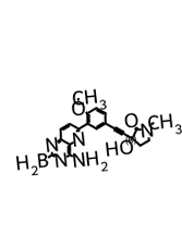 Bc1nc(N)c2nc(-c3cc(C#C[C@]4(O)CCN(C)C4=O)ccc3OC)ccc2n1